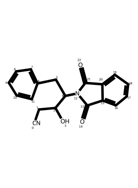 N#CCC(O)C(Cc1ccccc1)N1C(=O)c2ccccc2C1=O